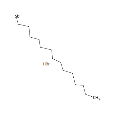 Br.CCCCCCCCCCCCC[CH2][Sb]